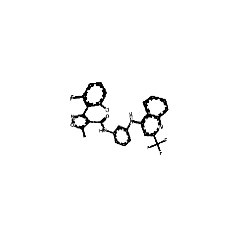 Cc1onc(-c2c(F)cccc2Cl)c1C(=O)Nc1cccc(Nc2cc(C(F)(F)F)nc3ccccc23)c1